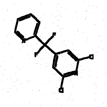 FC(F)(c1cc(Cl)nc(Cl)c1)c1ccccn1